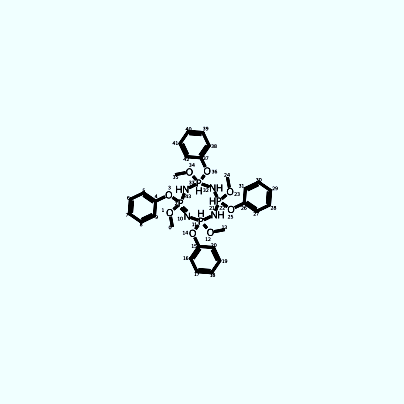 COP1(Oc2ccccc2)=N[PH](OC)(Oc2ccccc2)N[PH](OC)(Oc2ccccc2)N[PH](OC)(Oc2ccccc2)N1